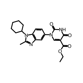 CCOC(=O)c1cn(-c2ccc3c(c2)nc(C)n3C2CCCCC2)c(=O)[nH]c1=O